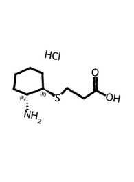 Cl.N[C@@H]1CCCC[C@H]1SCCC(=O)O